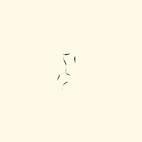 CCCCCCCCCCc1ccc(-c2ccc(C(=O)O)cc2)cc1F